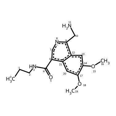 CCCNC(=O)c1cnc(CN)c2cc(OC)c(OC)cc12